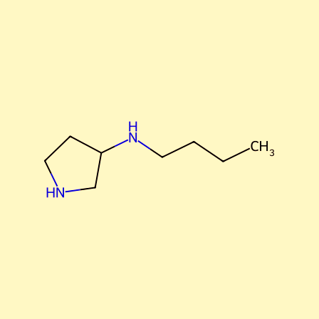 CCCCNC1CCNC1